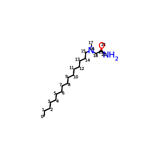 CCCCCCCCCCCCCCCCN(C)CC(N)=O